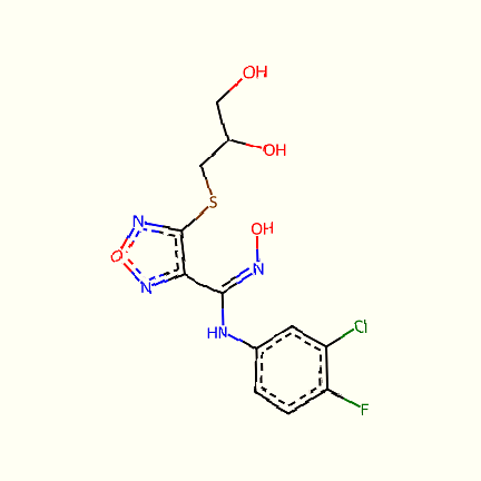 OCC(O)CSc1nonc1C(=NO)Nc1ccc(F)c(Cl)c1